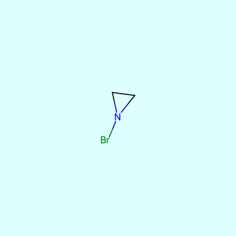 BrN1CC1